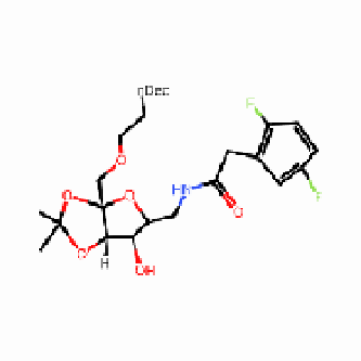 CCCCCCCCCCCCOC[C@@]12O[C@@H](CNC(=O)Cc3cc(F)ccc3F)[C@@H](O)[C@@H]1OC(C)(C)O2